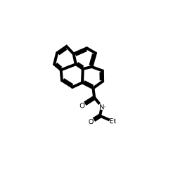 CCC(=O)[N]C(=O)c1ccc2ccc3cccc4ccc1c2c34